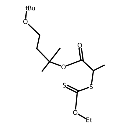 CCOC(=S)SC(C)C(=O)OC(C)(C)CCOC(C)(C)C